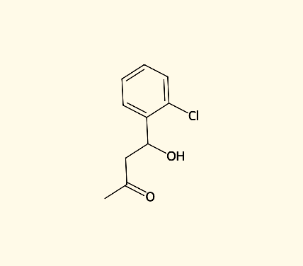 CC(=O)CC(O)c1ccccc1Cl